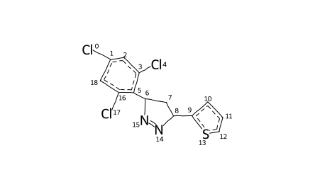 Clc1cc(Cl)c(C2CC(c3cccs3)N=N2)c(Cl)c1